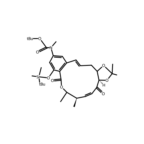 CC1OC(=O)c2c(cc(N(C)C(=O)OC(C)(C)C)cc2O[Si](C)(C)C(C)(C)C)/C=C/CC2OC(C)(C)O[C@H]2C(=O)/C=C\[C@H]1C